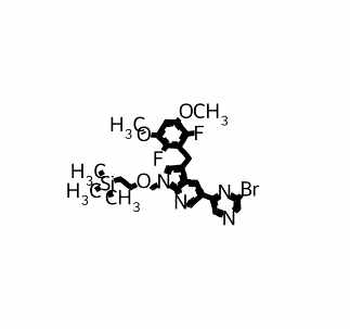 COc1cc(OC)c(F)c(Cc2cn(COCC[Si](C)(C)C)c3ncc(-c4cncc(Br)n4)cc23)c1F